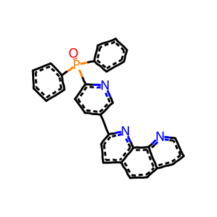 O=P(c1ccccc1)(c1ccccc1)c1ccc(-c2ccc3ccc4cccnc4c3n2)cn1